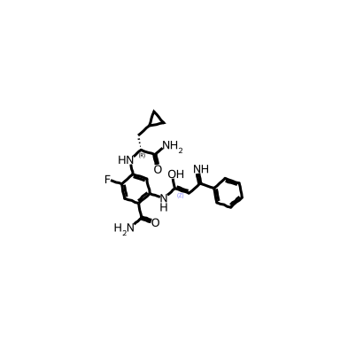 N=C(/C=C(\O)Nc1cc(N[C@H](CC2CC2)C(N)=O)c(F)cc1C(N)=O)c1ccccc1